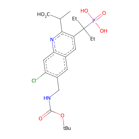 CCC(CC)(c1cc2cc(CNC(=O)OC(C)(C)C)c(Cl)cc2nc1C(C)C(=O)O)P(=O)(O)O